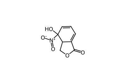 O=C1OCC2C1=CC=CC2(O)[N+](=O)[O-]